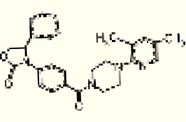 Cc1cnc(N2CCN(C(=O)c3ccc(N4C(=O)OC[C@H]4c4ccccc4)cc3)CC2)c(C)c1